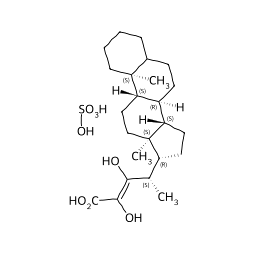 C[C@H](C(O)=C(O)C(=O)O)[C@H]1CC[C@H]2[C@@H]3CCC4CCCC[C@]4(C)[C@H]3CC[C@]12C.O=S(=O)(O)O